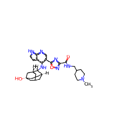 CN1CCC(CNC(=O)c2noc(-c3cnc4[nH]ccc4c3N[C@H]3[C@@H]4CC5C[C@H]3C[C@@](O)(C5)C4)n2)CC1